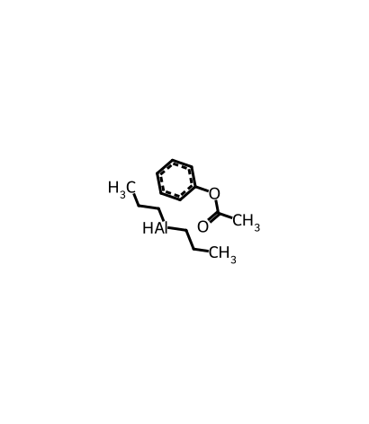 CC(=O)Oc1ccccc1.CC[CH2][AlH][CH2]CC